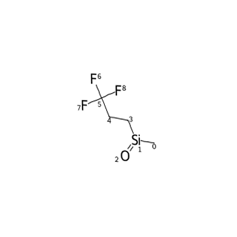 C[Si](=O)CCC(F)(F)F